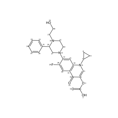 O=C(O)Oc1cn(C2CC2)c2cc(N3CCN(CCO)C(c4ccccc4)C3)c(F)cc2c1=O